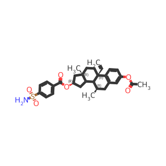 C=C[C@]12CC[C@]3(C)C[C@H](OC(=O)c4ccc(S(N)(=O)=O)cc4)CC3C1[C@H](C)Cc1cc(OC(C)=O)ccc12